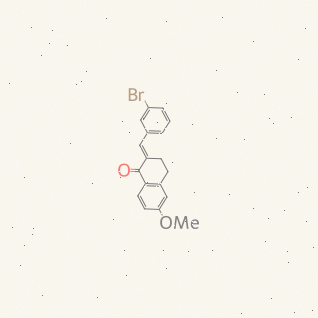 COc1ccc2c(c1)CCC(=Cc1cccc(Br)c1)C2=O